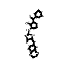 O=C1N=C(Nc2cccc(C(=O)c3ccccc3)c2Cl)S/C1=C/c1ccc2nccnc2c1